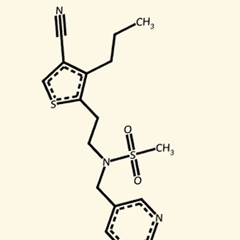 CCCc1c(C#N)csc1CCN(Cc1cccnc1)S(C)(=O)=O